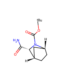 CC(C)(C)OC(=O)N1[C@@H]2CC[C@@H](C2)[C@@H]1C(N)=O